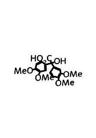 COc1ccc(C(O)(C(=O)O)c2ccc(OC)c(OC)c2)cc1OC